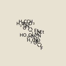 CCN(CC)c1ncc(N(C)S(=O)(=O)c2ccc(F)cc2)c(N[C@@H](Cc2ccc(N3C(=O)N(C)C(C)(C)C3=O)cc2)C(=O)O)n1